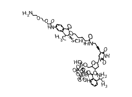 CSSC(C)c1cc(NC(=O)COCCOCCN)ccc1C(=O)OCCCCC(=O)NCC#Cc1cn([C@H]2C[C@@H](OC(=O)c3ccccc3C(C)N)C(COP(=O)(O)OP(=O)(O)OP(=O)(O)O)O2)c(=O)[nH]c1=O